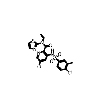 CCN(C(=O)c1ncc(Cl)cc1NS(=O)(=O)c1ccc(Cl)c(C)c1)c1nccs1